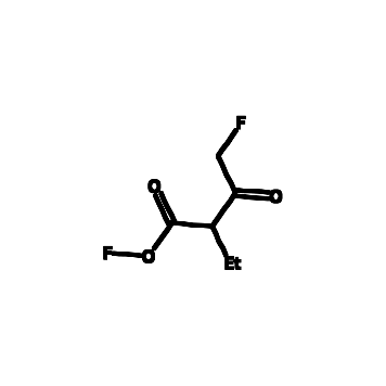 CCC(C(=O)CF)C(=O)OF